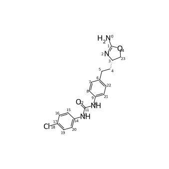 NC1=N[C@@H](CCc2ccc(NC(=O)Nc3ccc(Cl)cc3)cc2)CO1